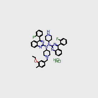 CCOc1cc(CN2CCC(N(c3nc(-c4ccccc4F)c4ccccc4n3)N(c3nc(-c4ccccc4F)c4ccccc4n3)C3CCNCC3)CC2)ccc1C.Cl.Cl